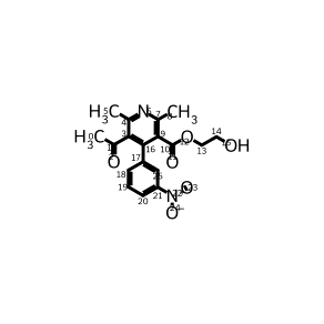 CC(=O)c1c(C)nc(C)c(C(=O)OCCO)c1-c1cccc([N+](=O)[O-])c1